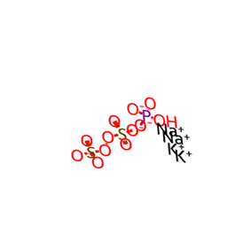 O=P([O-])([O-])O.O=S(=O)([O-])OOS(=O)(=O)[O-].[K+].[K+].[Na+].[Na+]